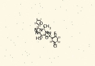 CCn1c(-c2ccco2)nnc1C(S)c1nnc(-c2cc(Cl)ccc2F)o1